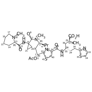 CC(=O)O[C@H](C[C@H](C(C)C)N(C)C(=O)C1(NC(=O)[C@H]2CCCCN2C)CC1)c1nc(C(=O)N[C@@H](CCc2nccs2)C[C@H](C)C(=O)O)cs1